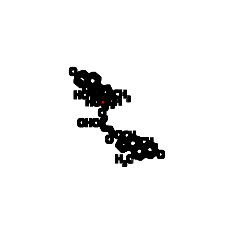 C[C@@H]1CC2=CC(=O)CC[C@]2(C)C2CC[C@@]3(C)C(CC[C@@H]3OC(=O)CCC(C=O)COCC(O)[C@@]3(O)[C@@H](C)CC4C5CCC6=CC(=O)C=C[C@]6(C)[C@@]5(F)[C@@H](O)C[C@@]43C)C21